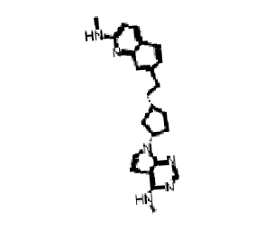 CNc1ccc2ccc(CC[C@@H]3CC[C@H](n4ccc5c(NC)ncnc54)C3)cc2n1